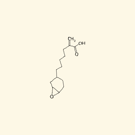 C=C(CCCCCC1CCC2OC2C1)C(=O)O